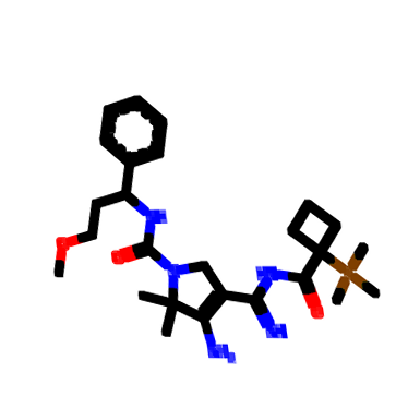 COCCC(NC(=O)N1CC(C(=N)NC(=O)C2(S(C)(C)C)CCC2)=C(N)C1(C)C)c1ccccc1